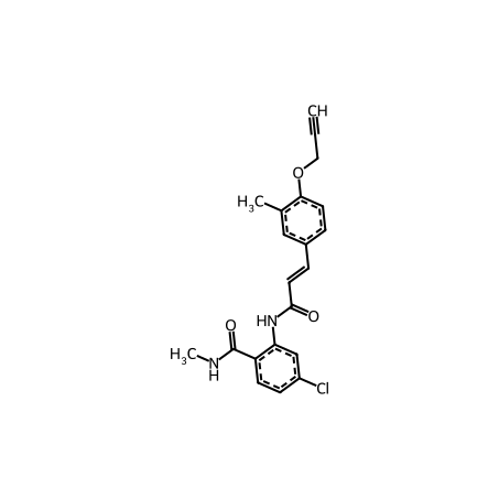 C#CCOc1ccc(/C=C/C(=O)Nc2cc(Cl)ccc2C(=O)NC)cc1C